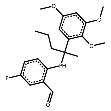 CCCC(C)(Pc1ccc(F)cc1C=O)c1cc(OC)cc(OC)c1OC